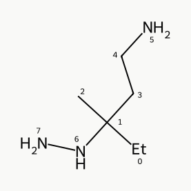 CCC(C)(CCN)NN